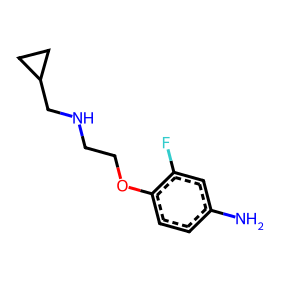 Nc1ccc(OCCNCC2CC2)c(F)c1